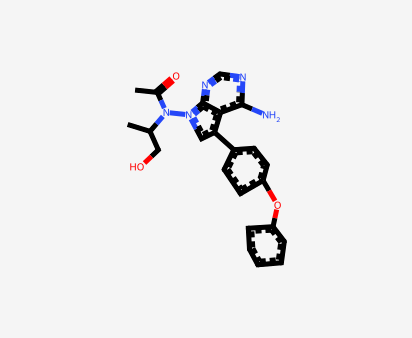 CC(=O)N(C(C)CO)n1cc(-c2ccc(Oc3ccccc3)cc2)c2c(N)ncnc21